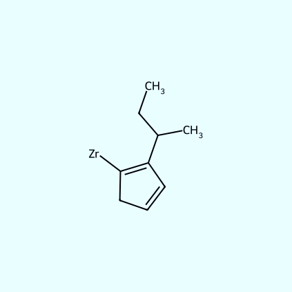 CCC(C)C1=[C]([Zr])CC=C1